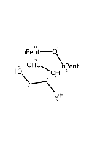 CCCCCOCCCCC.O=CO.OCCO